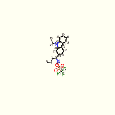 CCCC(=NOS(=O)(=O)C(F)(F)F)c1ccc2c3ccccc3n(CC)c2c1